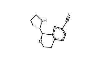 N#Cc1ccc2c(c1)[C@H]([C@@H]1CCCN1)OCC2